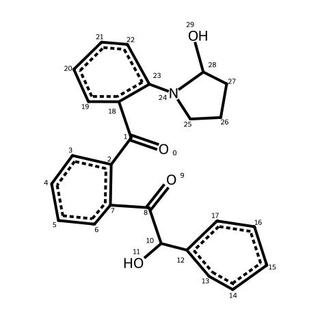 O=C(c1ccccc1C(=O)C(O)c1ccccc1)c1ccccc1N1CCCC1O